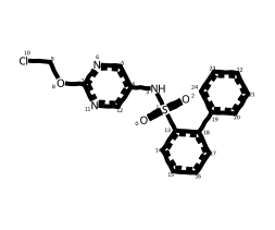 O=S(=O)(Nc1cnc(OCCl)nc1)c1ccccc1-c1ccccc1